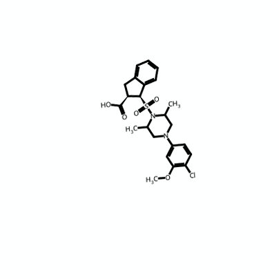 COc1cc(N2CC(C)N(S(=O)(=O)[C@@H]3c4ccccc4C[C@@H]3C(=O)O)C(C)C2)ccc1Cl